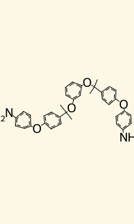 CC(C)(Oc1cccc(OC(C)(C)c2ccc(Oc3ccc(N)cc3)cc2)c1)c1ccc(Oc2ccc(N)cc2)cc1